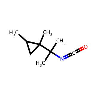 CC1CC1(C)C(C)(C)N=C=O